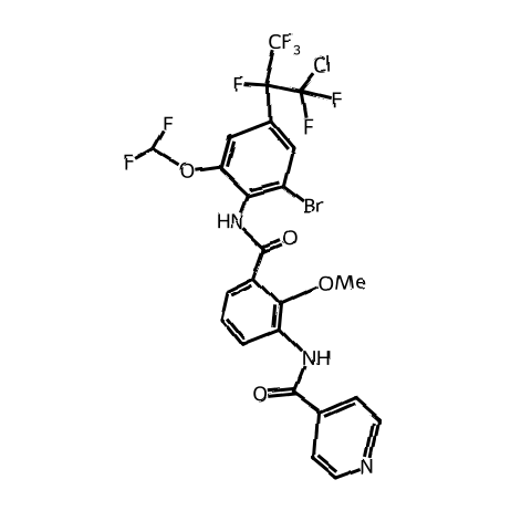 COc1c(NC(=O)c2ccncc2)cccc1C(=O)Nc1c(Br)cc(C(F)(C(F)(F)F)C(F)(F)Cl)cc1OC(F)F